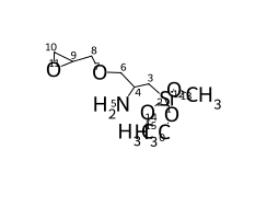 CO[Si](CC(N)COCC1CO1)(OC)OC